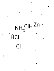 Cl.Cl.N.[Cl-].[Zn+]